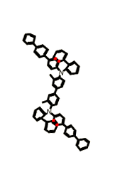 Cc1cc(-c2ccc(N(c3ccc(-c4ccc(-c5ccccc5)cc4)cc3)c3ccccc3-c3ccccc3)c(C)c2)ccc1N(c1ccc(-c2ccc(-c3ccccc3)cc2)cc1)c1ccccc1-c1ccccc1